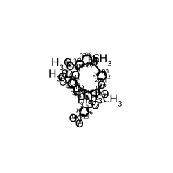 COc1cc(N[S+]([O-])c2ccc([N+](=O)[O-])cc2)c2cc1Oc1ccc(cc1)C[C@H]1c3cc(c(OC)cc3CCN1C)Oc1c(OC)c(OC)cc3c1[C@H](C2)N(C)CC3